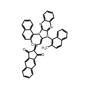 Cc1ccc2ccccc2c1N1C(=CC=C2C(=O)c3cc4ccccc4cc3C2=O)N(c2c(C)ccc3ccccc23)c2nc3ccccc3nc21